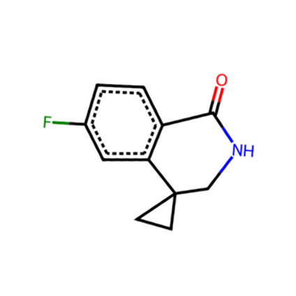 O=C1NCC2(CC2)c2cc(F)ccc21